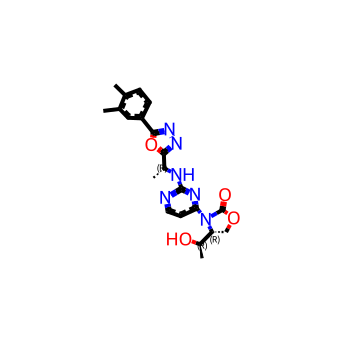 Cc1ccc(-c2nnc([C@@H](C)Nc3nccc(N4C(=O)OC[C@@H]4[C@@H](C)O)n3)o2)cc1C